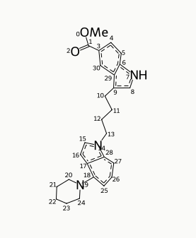 COC(=O)c1ccc2[nH]cc(CCCCn3ccc4c(N5CCCCC5)cccc43)c2c1